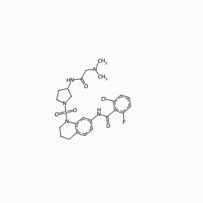 CN(C)CC(=O)NC1CCN(S(=O)(=O)N2CCCc3ccc(NC(=O)c4c(F)cccc4Cl)cc32)C1